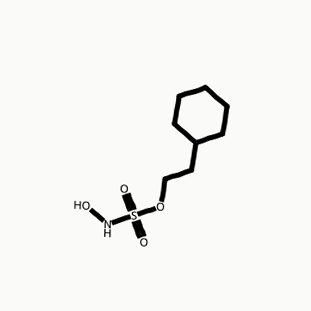 O=S(=O)(NO)OCCC1CCCCC1